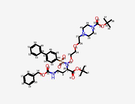 CC(C)(C)OC(=O)[C@@H](CCNC(=O)OCc1ccccc1)N(OCCOCCN1CCN(C(=O)OC(C)(C)C)CC1)S(=O)(=O)c1ccc(-c2ccccc2)cc1